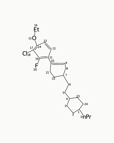 CCCC1CCC(CCC2CC=C(c3ccc(OCC)c(Cl)c3F)CC2)CC1